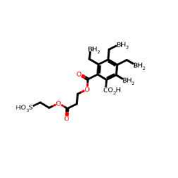 BCc1c(B)c(C(=O)O)c(C(=O)OCCC(=O)OCCS(=O)(=O)O)c(CB)c1CB